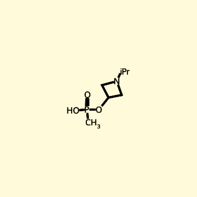 CC(C)N1CC(OP(C)(=O)O)C1